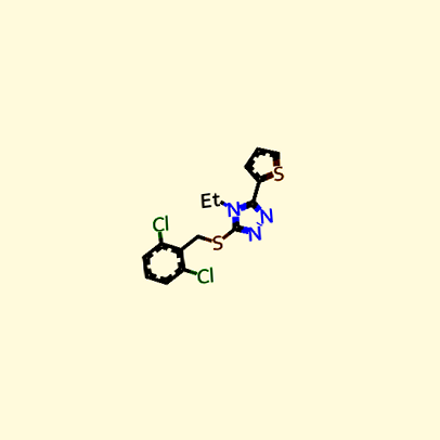 CCn1c(SCc2c(Cl)cccc2Cl)nnc1-c1cccs1